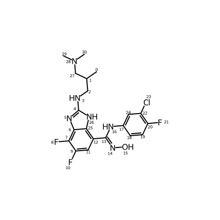 CC(CNc1nc2c(F)c(F)cc(/C(=N/O)Nc3ccc(F)c(Cl)c3)c2[nH]1)CN(C)C